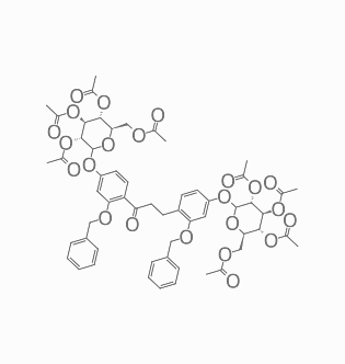 CC(=O)OC[C@H]1OC(Oc2ccc(CCC(=O)c3ccc(OC4O[C@H](COC(C)=O)[C@@H](OC(C)=O)[C@H](OC(C)=O)[C@H]4OC(C)=O)cc3OCc3ccccc3)c(OCc3ccccc3)c2)[C@H](OC(C)=O)[C@@H](OC(C)=O)[C@@H]1OC(C)=O